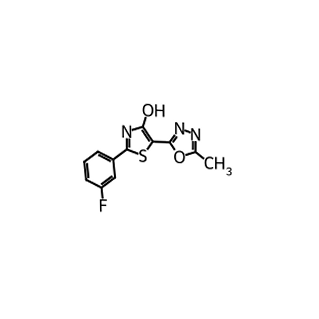 Cc1nnc(-c2sc(-c3cccc(F)c3)nc2O)o1